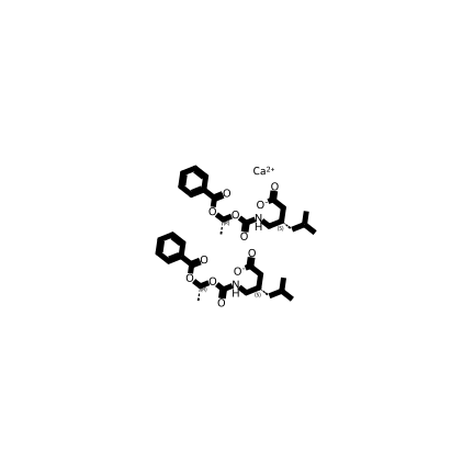 CC(C)C[C@H](CNC(=O)O[C@H](C)OC(=O)c1ccccc1)CC(=O)[O-].CC(C)C[C@H](CNC(=O)O[C@H](C)OC(=O)c1ccccc1)CC(=O)[O-].[Ca+2]